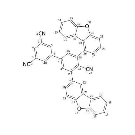 N#Cc1cc(C#N)cc(-c2cc(-c3ccc4oc5ccccc5c4c3)c(C#N)c(-c3cccc4oc5ccccc5c34)c2)c1